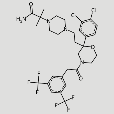 CC(C)(C(N)=O)N1CCN(CCC2(c3ccc(Cl)c(Cl)c3)CN(C(=O)Cc3cc(C(F)(F)F)cc(C(F)(F)F)c3)CCO2)CC1